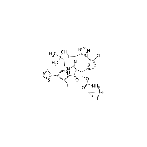 CC(C)(C)CCN/C1=N\C(F)c2ncnn2-c2cc(ccc2Cl)[C@@H](COC(=O)NC2(C(F)(F)F)CC2)N1C(=O)c1ccc(-c2ncns2)cc1F